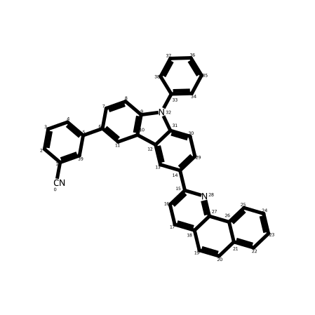 N#Cc1cccc(-c2ccc3c(c2)c2cc(-c4ccc5ccc6ccccc6c5n4)ccc2n3-c2ccccc2)c1